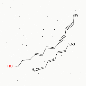 C=CC=CC=CCCCCCCCC.CCCC#CC#CC=CC=CCCCO